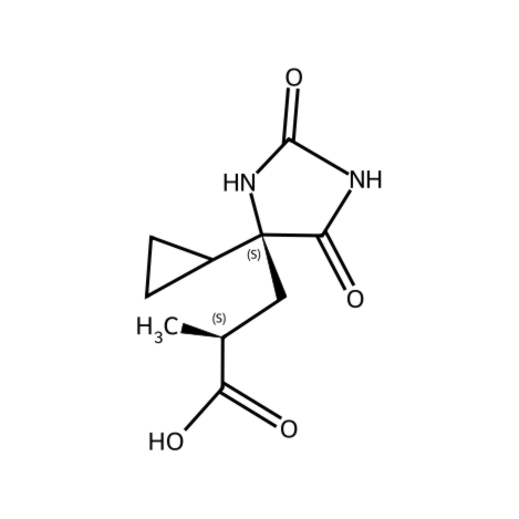 C[C@@H](C[C@@]1(C2CC2)NC(=O)NC1=O)C(=O)O